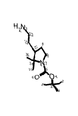 CC(C)(C)OC(=O)N1CCC(CCN)C1(C)C